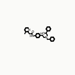 Cc1cccnc1CC(=O)Nc1ccc(CCN(Cc2ccccc2)CC(O)c2ccccc2)cc1